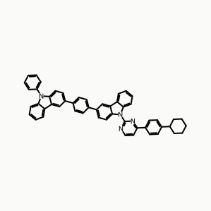 c1ccc(-n2c3ccccc3c3cc(-c4ccc(-c5ccc6c(c5)c5ccccc5n6-c5nccc(-c6ccc(C7CCCCC7)cc6)n5)cc4)ccc32)cc1